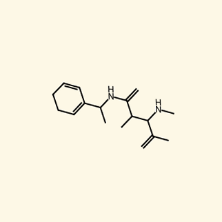 C=C(NC(C)C1=CCCC=C1)C(C)C(NC)C(=C)C